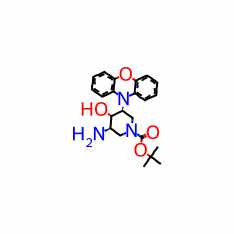 CC(C)(C)OC(=O)N1C[C@@H](N)[C@@H](O)[C@H](N2c3ccccc3Oc3ccccc32)C1